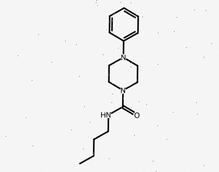 CCCCNC(=O)N1CCN(c2ccccc2)CC1